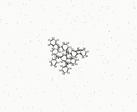 c1ccc(N(c2ccc3c(c2)sc2ccccc23)c2cc(N(c3ccccc3)c3ccc4c(c3)sc3ccccc34)c3c4ccccc4n(-c4ccccc4)c3c2)cc1